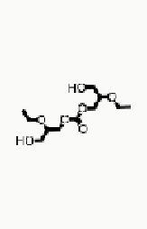 CCOC(CO)COC(=O)OCC(CO)OCC